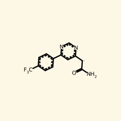 NC(=O)[CH]c1cc(-c2ccc(C(F)(F)F)cc2)ncn1